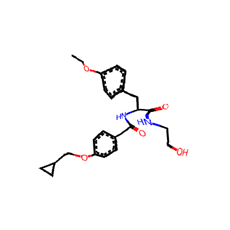 CCOc1ccc(CC(NC(=O)c2ccc(OCC3CC3)cc2)C(=O)NCCO)cc1